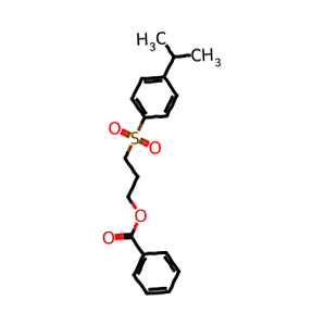 CC(C)c1ccc(S(=O)(=O)CCCOC(=O)c2ccccc2)cc1